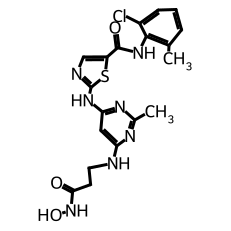 Cc1nc(NCCC(=O)NO)cc(Nc2ncc(C(=O)Nc3c(C)cccc3Cl)s2)n1